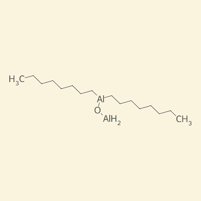 CCCCCCC[CH2][Al]([CH2]CCCCCCC)[O][AlH2]